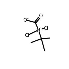 CC(C)(C)[N+](Cl)(Cl)C(=O)[O-]